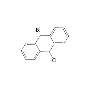 ClC1c2ccccc2Cc2ccccc21.[B]